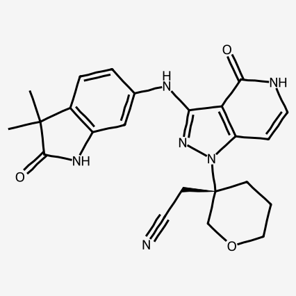 CC1(C)C(=O)Nc2cc(Nc3nn([C@]4(CC#N)CCCOC4)c4cc[nH]c(=O)c34)ccc21